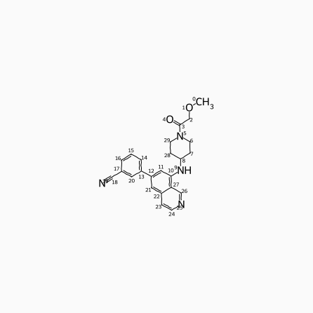 COCC(=O)N1CCC(Nc2cc(-c3cccc(C#N)c3)cc3ccncc23)CC1